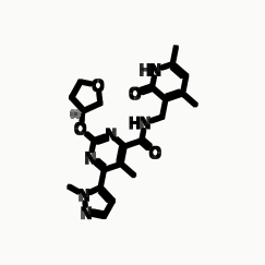 Cc1cc(C)c(CNC(=O)c2nc(O[C@H]3CCOC3)nc(-c3ccnn3C)c2C)c(=O)[nH]1